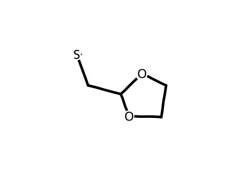 [S]CC1OCCO1